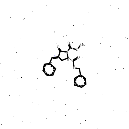 CC(C)(C)OC(=O)N1C(=O)/C(=C/c2ccccc2)C[C@H]1C(=O)OCc1ccccc1